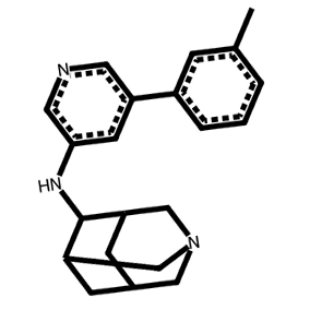 Cc1cccc(-c2cncc(NC3C4CC5CC3CN(C5)C4)c2)c1